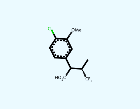 COc1cc(C(C(=O)O)[C@@H](C)C(F)(F)F)ccc1Cl